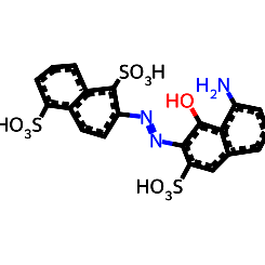 Nc1cccc2cc(S(=O)(=O)O)c(N=Nc3ccc4c(S(=O)(=O)O)cccc4c3S(=O)(=O)O)c(O)c12